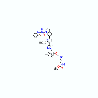 Cc1c(-c2ccc(-c3ccc4c(c3)N(C(=O)Nc3nc5ccccc5s3)CCC4)nc2C(=O)O)cnn1CC12CC3(C)CC(C)(C1)CC(OCCN(C)CCCNC(=O)OC(C)(C)C)(C3)C2